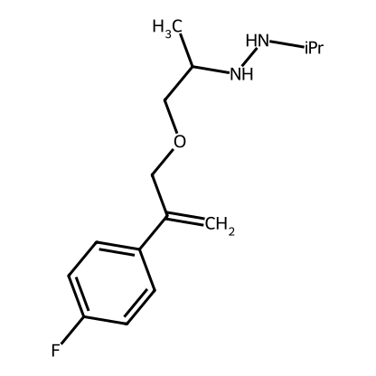 C=C(COCC(C)NNC(C)C)c1ccc(F)cc1